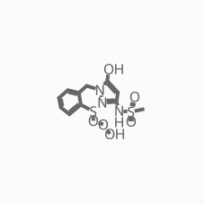 CS(=O)(=O)Nc1cc(O)n(Cc2ccccc2SOOO)n1